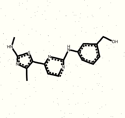 CNc1nc(C)c(-c2ccnc(Nc3cccc(CO)c3)n2)s1